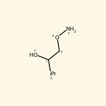 CC(C)C(O)CON